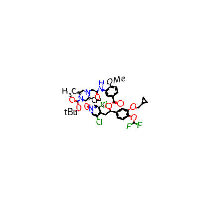 COc1ccc(C(=O)OC(Cc2c(Cl)c[n+]([O-])cc2Cl)c2ccc(OC(F)F)c(OCC3CC3)c2)cc1NC(=O)CN1C[C@@H](C)N(C(=O)OC(C)(C)C)C[C@@H]1C